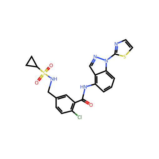 O=C(Nc1cccc2c1cnn2-c1nccs1)c1cc(CNS(=O)(=O)C2CC2)ccc1Cl